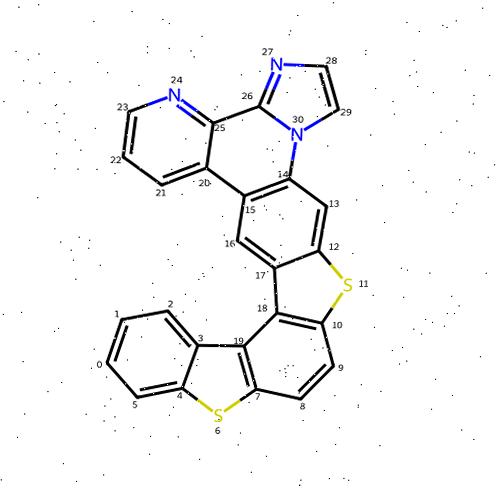 c1ccc2c(c1)sc1ccc3sc4cc5c(cc4c3c12)c1cccnc1c1nccn51